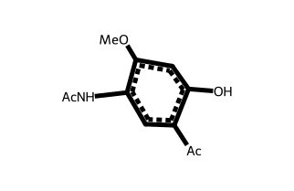 COc1cc(O)c(C(C)=O)cc1NC(C)=O